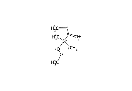 [CH]=C(C=C)[Si](C)(C)OCC